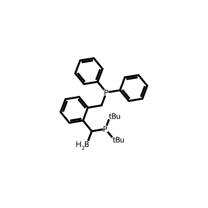 BC(c1ccccc1CP(c1ccccc1)c1ccccc1)P(C(C)(C)C)C(C)(C)C